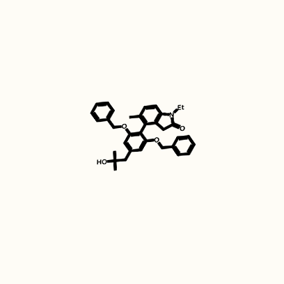 CCN1C(=O)Cc2c1ccc(C)c2-c1c(OCc2ccccc2)cc(CC(C)(C)O)cc1OCc1ccccc1